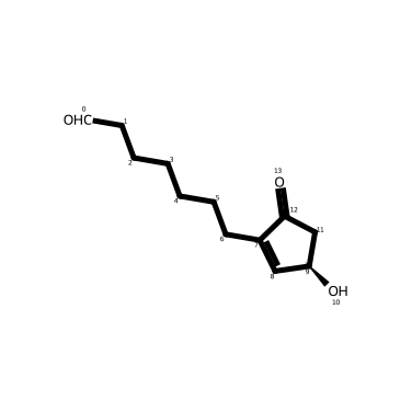 O=CCCCCCCC1=C[C@H](O)CC1=O